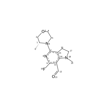 C[C@@H]1COCCN1c1nc(F)c(C=O)c2c1CCN2C